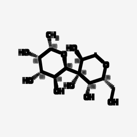 C[C@@H]1O[C@@H]([C@@]2(O)[C@@H](O)[CH]O[C@H](CO)[C@@H]2O)[C@@H](O)[C@H](O)[C@@H]1O